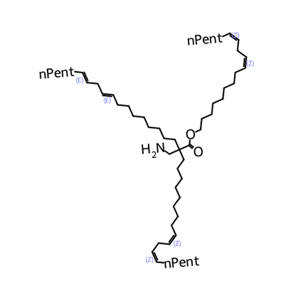 CCCCC/C=C\C/C=C\CCCCCCCCOC(=O)C(CN)(CCCCCCCC/C=C\C/C=C\CCCCC)CCCCCCCC/C=C/C/C=C/CCCCC